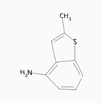 Cc1cc2c(N)cccc2s1